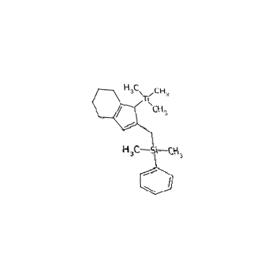 C[Si](C)(CC1=CC2=C(CCCC2)[CH]1[Ti]([CH3])([CH3])[CH3])c1ccccc1